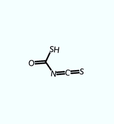 O=C(S)N=C=S